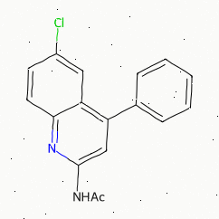 CC(=O)Nc1cc(-c2ccccc2)c2cc(Cl)ccc2n1